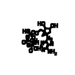 Nc1ncnc2c1ncn2C12CC(O)C(O)C1(COOP(=O)(O)OP(=O)(O)OP(=O)(O)O)C2